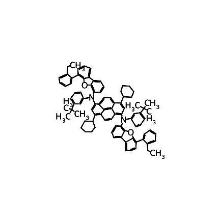 CCc1ccccc1-c1cccc2c1oc1c(N(c3cccc(C(C)(C)C)c3)c3cc(C4CCCCC4)c4ccc5c(N(c6cccc(C(C)(C)C)c6)c6cccc7c6oc6c(-c8ccccc8CC)cccc67)cc(C6CCCCC6)c6ccc3c4c65)cccc12